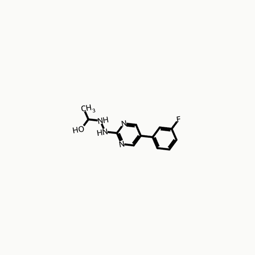 CC(O)NNc1ncc(-c2cccc(F)c2)cn1